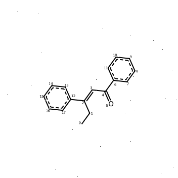 CC/C(=C\C(=O)c1ccccc1)c1ccccc1